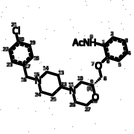 CC(=O)Nc1ccccc1OC[C@H]1CN(C2CCN(Cc3ccc(Cl)cc3)CC2)CCO1